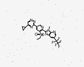 CCS(=O)(=O)c1cc(-c2nncc(C3CC3)n2)cnc1-c1nc2cc(C(F)(F)C(F)(F)F)cnc2n1C